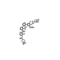 COc1cc(-c2nccc(-c3cccc(Nc4nccc(CNC5CCS(=O)(=O)CC5)c4F)c3Cl)c2Cl)cc(F)c1CNC[C@@H]1CCC(=O)N1